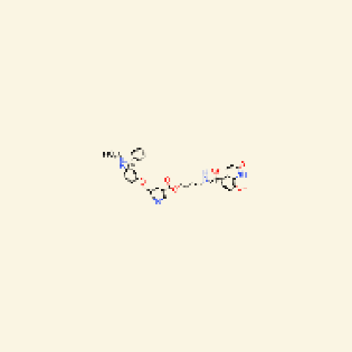 O=C(O)N[C@@H](c1ccccc1)c1cccc(OCc2cncc(C(=O)OCCCCNC[C@H](O)c3ccc(O)c4[nH]c(=O)ccc34)c2)c1